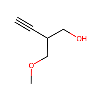 C#CC(CO)COC